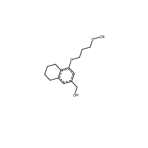 N#COCCCOc1cc(CO)cc2c1CCCC2